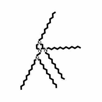 CCCCCCCCCCCCN(CCCCCCCCCCCC)CCN1CCN(CCCCCCCCCCCC)CC1N(CCCCCCCCCCCC)CCCCCCCCCCCC